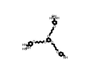 N=Cc1ccc(OCCCCCCOc2cc(OCCCCCCOc3ccc(C(=N)NO)cc3)cc(OCCCCCCOc3ccc(C(=N)NO)cc3)c2)cc1